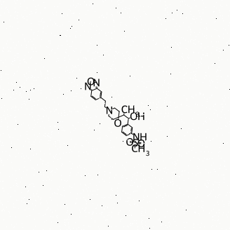 CC1C(O)c2cc(NS(C)(=O)=O)ccc2OC12CCN(CCc1ccc3nonc3c1)CC2